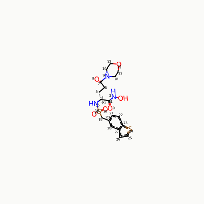 O=C(NO)[C@@H](CCC(=O)N1CCOCC1)NS(=O)(=O)Cc1ccc2sccc2c1